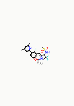 Cc1cc(C)nc(-c2cccc(C[C@H]3[C@@H](NS(C)(=O)=O)C(F)(F)CN3C(=O)C(C)(C)C)c2F)c1